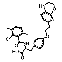 Cc1ccc(F)c(C(=O)N[C@@H](Cc2ccc(OCCc3ccc4c(n3)OCCN4)cc2)C(=O)O)c1Cl